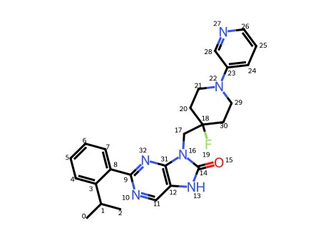 CC(C)c1ccccc1-c1ncc2[nH]c(=O)n(CC3(F)CCN(c4cccnc4)CC3)c2n1